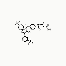 CC(CC(=O)O)NC(=O)C1C=CC([C@@H](C)N2C(=O)C(c3cccc(C(F)(F)F)c3)=NC23CCC(C(C)(C)C)CC3)=CC1